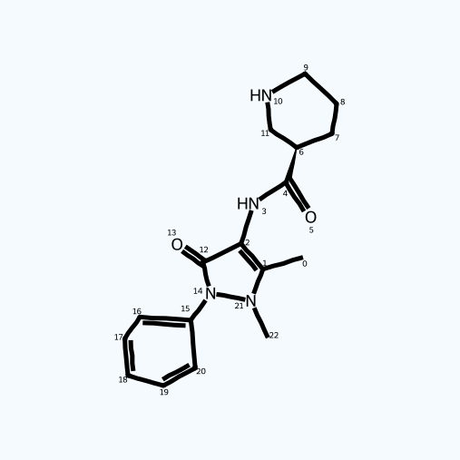 Cc1c(NC(=O)[C@@H]2CCCNC2)c(=O)n(-c2ccccc2)n1C